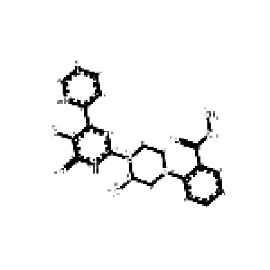 COC(=O)c1ccccc1N1CCN(c2nc(-c3ccncn3)c(C)c(=O)[nH]2)[C@H](C)C1